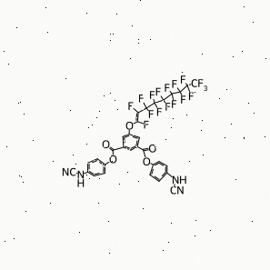 N#CNc1ccc(OC(=O)c2cc(OC(F)=C(F)C(F)(F)C(F)(F)C(F)(F)C(F)(F)C(F)(F)C(F)(F)C(F)(F)F)cc(C(=O)Oc3ccc(NC#N)cc3)c2)cc1